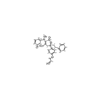 CCCN(C1=C(O)CC(CCc2ccccc2)(c2ccc(OCCO)cc2)OC1=O)c1cccc(Cl)c1